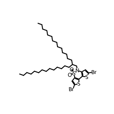 CCCCCCCCCCCCCCC(CCCCCCCCCCCCCC)CN1c2cc(Br)sc2-c2sc(Br)cc2S1(=O)=O